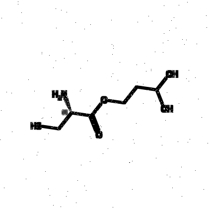 N[C@@H](CS)C(=O)OCCC(O)O